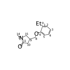 CCc1ccccc1OCC1CC(=O)N(C)C1